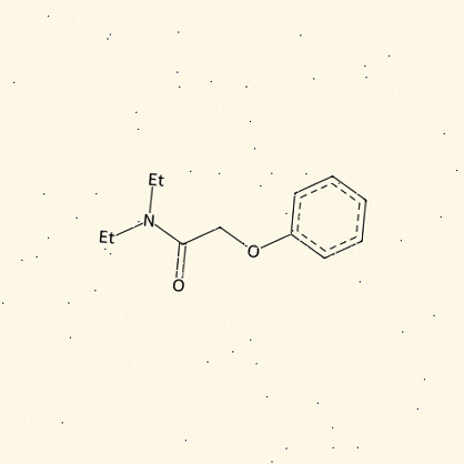 CCN(CC)C(=O)COc1ccccc1